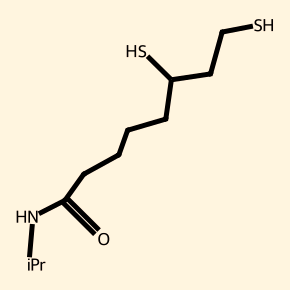 CC(C)NC(=O)CCCCC(S)CCS